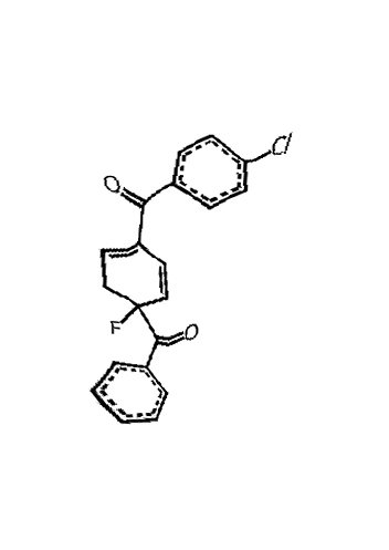 O=C(C1=CCC(F)(C(=O)c2ccccc2)C=C1)c1ccc(Cl)cc1